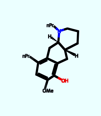 CCCc1cc(OC)c(O)c2c1C[C@@H]1[C@H](CCCN1CCC)C2